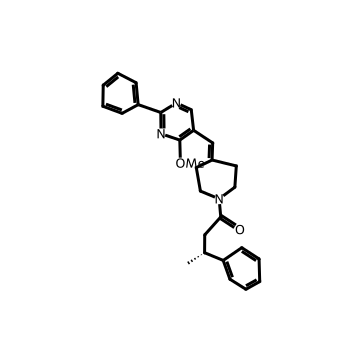 COc1nc(-c2ccccc2)ncc1C=C1CCN(C(=O)C[C@@H](C)c2ccccc2)CC1